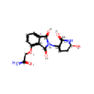 NC(=O)COc1cccc2c1C(=O)N(C1CC[C@H](O)NC1=O)C2=O